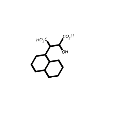 O=C(O)C(O)C(C(=O)O)C1CCCC2CCCCC21